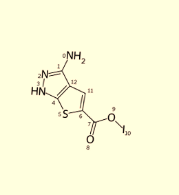 Nc1n[nH]c2sc(C(=O)OI)cc12